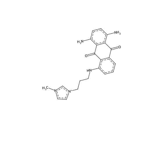 Cn1cc[n+](CCCNc2cccc3c2C(=O)c2c(N)ccc(N)c2C3=O)c1